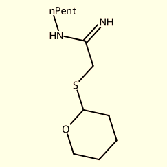 CCCCCNC(=N)CSC1CCCCO1